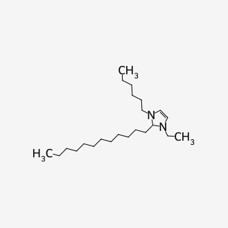 CCCCCCCCCCCCC1N(CC)C=CN1CCCCCC